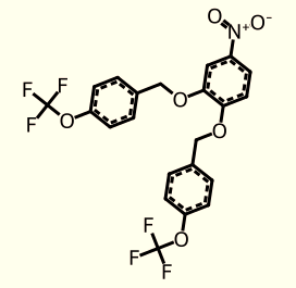 O=[N+]([O-])c1ccc(OCc2ccc(OC(F)(F)F)cc2)c(OCc2ccc(OC(F)(F)F)cc2)c1